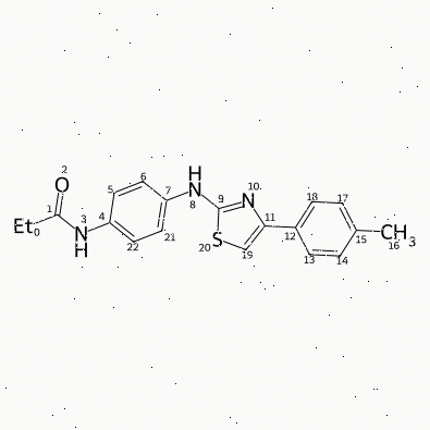 CCC(=O)Nc1ccc(Nc2nc(-c3ccc(C)cc3)cs2)cc1